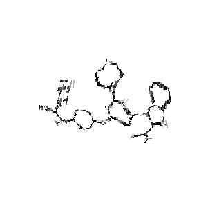 N=C(NC(=O)O)NC1CCC(Oc2cc(-n3c(C(F)F)nc4ccccc43)nc(N3CCOCC3)n2)CC1